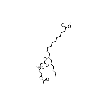 CCCCCC[C@H](C/C=C\CCCCCCCC(=O)OC)OC(=O)C[N+](C)(C)CCOC(C)=O